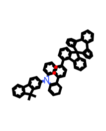 CC1(C)c2ccccc2-c2ccc(N(C3=C(c4ccc(-c5cccc6c5-c5ccccc5C65c6ccccc6-c6ccccc6-c6ccccc65)cc4)CCC=C3)c3ccccc3)cc21